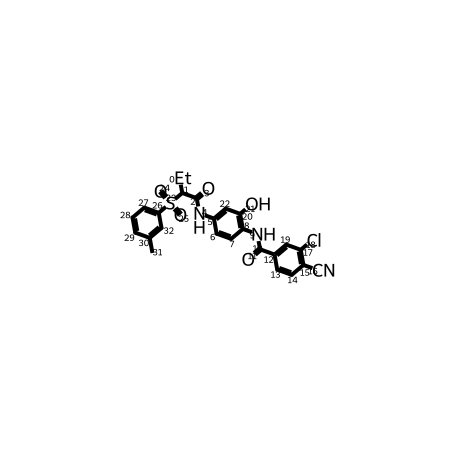 CCC(C(=O)Nc1ccc(NC(=O)c2ccc(C#N)c(Cl)c2)c(O)c1)S(=O)(=O)c1cccc(C)c1